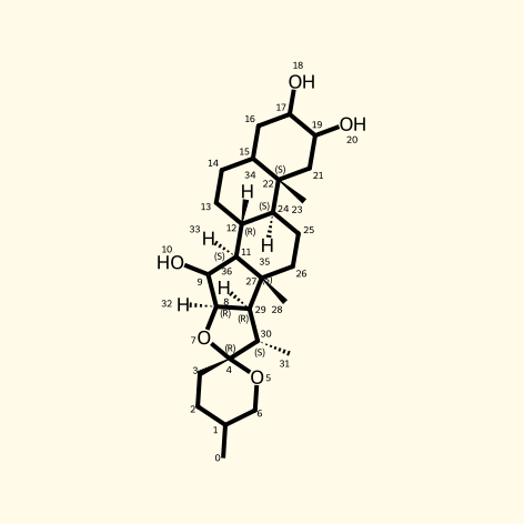 CC1CC[C@@]2(OC1)O[C@H]1C(O)[C@H]3[C@@H]4CCC5CC(O)C(O)C[C@]5(C)[C@H]4CC[C@]3(C)[C@H]1[C@@H]2C